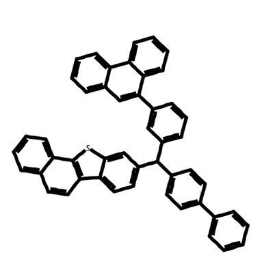 c1ccc(-c2ccc(C(c3cccc(-c4cc5ccccc5c5ccccc45)c3)c3ccc4c(c3)sc3c5ccccc5ccc43)cc2)cc1